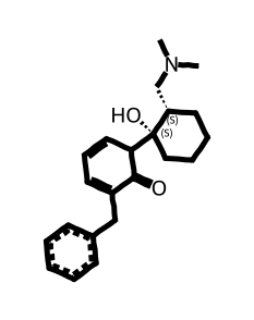 CN(C)C[C@@H]1CCCC[C@@]1(O)C1C=CC=C(Cc2ccccc2)C1=O